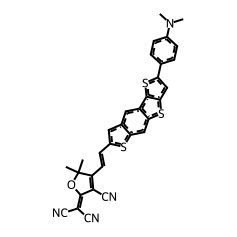 CN(C)c1ccc(-c2cc3sc4cc5sc(/C=C/C6=C(C#N)C(=C(C#N)C#N)OC6(C)C)cc5cc4c3s2)cc1